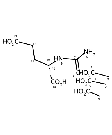 CC(=O)O.CC(=O)O.CC(=O)O.NC(=O)N[C@@H](CCC(=O)O)C(=O)O